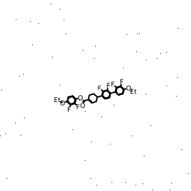 CCOc1ccc(OC(=O)C2=CCC(c3ccc(-c4ccc(OCC)c(F)c4F)c(F)c3F)CC2)c(F)c1F